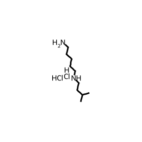 CC(C)CCNCCCCCN.Cl.Cl